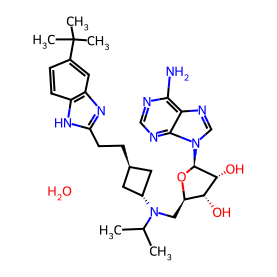 CC(C)N(C[C@H]1O[C@@H](n2cnc3c(N)ncnc32)[C@H](O)[C@@H]1O)[C@H]1C[C@H](CCc2nc3cc(C(C)(C)C)ccc3[nH]2)C1.O